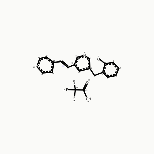 Clc1ccccc1Cc1cncc(/C=C/c2ccncc2)c1.O=C(O)C(F)(F)F